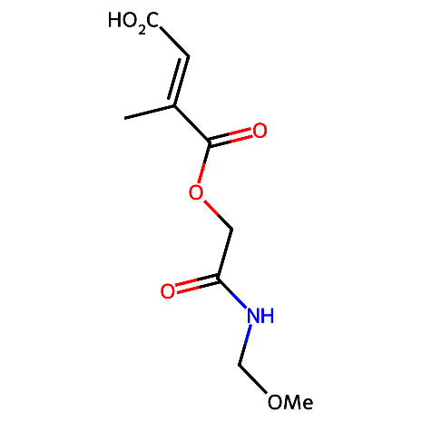 COCNC(=O)COC(=O)/C(C)=C/C(=O)O